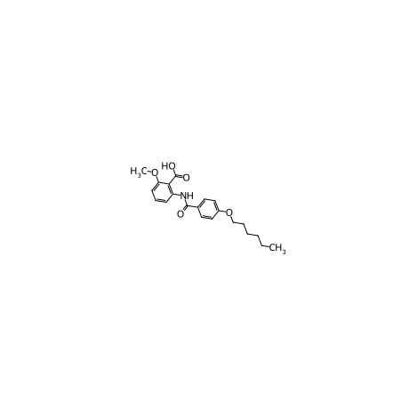 CCCCCCOc1ccc(C(=O)Nc2cccc(OC)c2C(=O)O)cc1